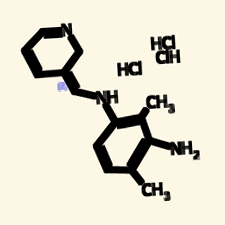 Cc1ccc(N/C=C2/C=CC=NC2)c(C)c1N.Cl.Cl.Cl